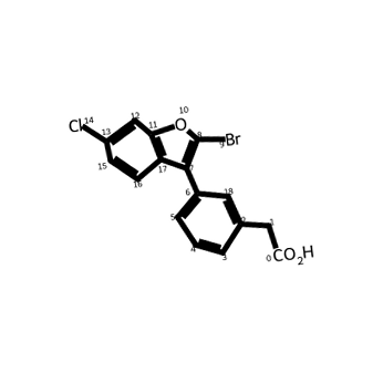 O=C(O)Cc1cccc(-c2c(Br)oc3cc(Cl)ccc23)c1